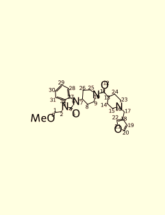 COCCn1c(=O)n(C2CCN(C(=O)C3CCN(Cc4ccoc4)CC3)CC2)c2ccccc21